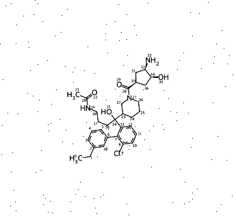 CCc1cccc(-c2c(Cl)cccc2C(O)(CCCNC(C)=O)C2CCCN(C(=O)[C@H]3C[C@@H](N)[C@@H](O)C3)C2)c1